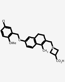 COc1ccc(Cl)cc1COc1ccc2c(c1)CCC(CN1CC(C(=O)O)C1)=C2C